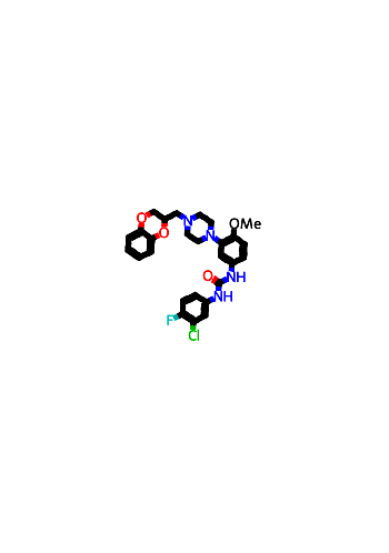 COc1ccc(NC(=O)Nc2ccc(F)c(Cl)c2)cc1N1CCN(CC2COc3ccccc3O2)CC1